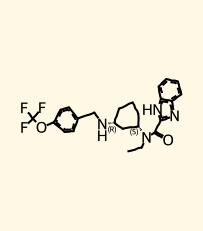 CCN(C(=O)c1nc2ccccc2[nH]1)[C@H]1CCC[C@@H](NCc2ccc(OC(F)(F)F)cc2)C1